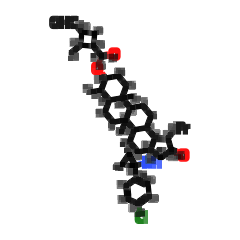 CC(C)C1=C2C3CCC4C(C)(CCC5C(C)C(OC(=O)C6CC(C=O)C6C)CCC54C)C3CCC2(NC2(c3ccc(Cl)cc3)CC2)CC1=O